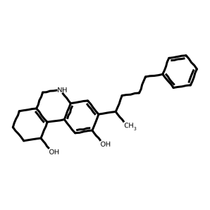 CC(CCCc1ccccc1)c1cc2c(cc1O)C1=C(CCCC1O)CN2